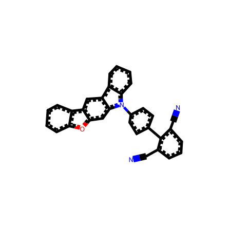 N#Cc1cccc(C#N)c1-c1ccc(-n2c3ccccc3c3cc4c(cc32)oc2ccccc24)cc1